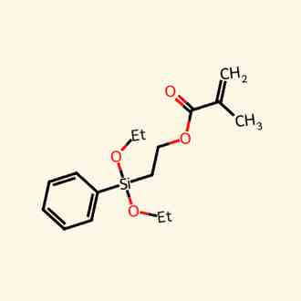 C=C(C)C(=O)OCC[Si](OCC)(OCC)c1ccccc1